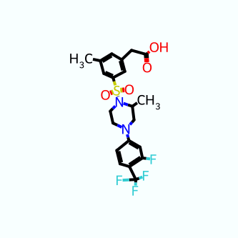 Cc1cc(CC(=O)O)cc(S(=O)(=O)N2CCN(c3ccc(C(F)(F)F)c(F)c3)CC2C)c1